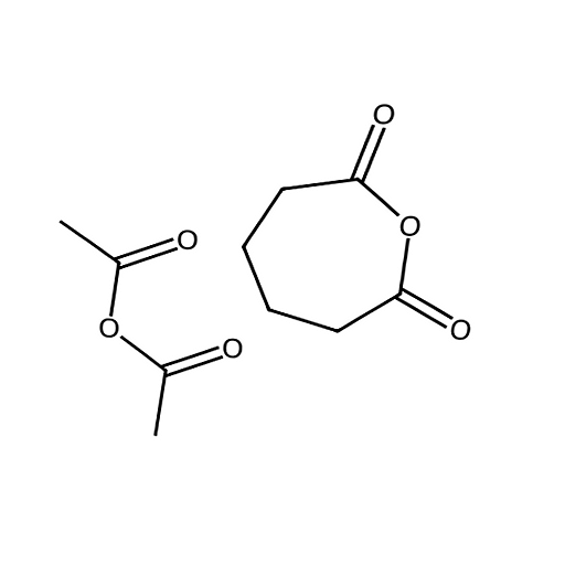 CC(=O)OC(C)=O.O=C1CCCCC(=O)O1